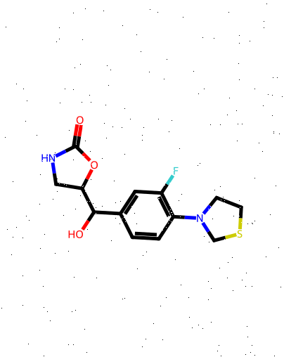 O=C1NCC(C(O)c2ccc(N3CCSC3)c(F)c2)O1